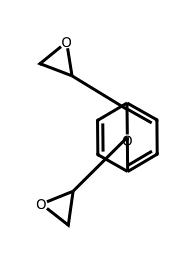 c1cc2ccc1C(C1CO1)OC2C1CO1